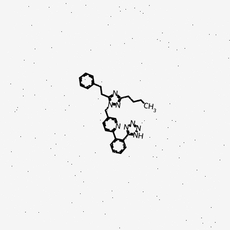 CCCCc1nc(CCc2ccccc2)n(Cc2ccc(-c3ccccc3-c3nnn[nH]3)nc2)n1